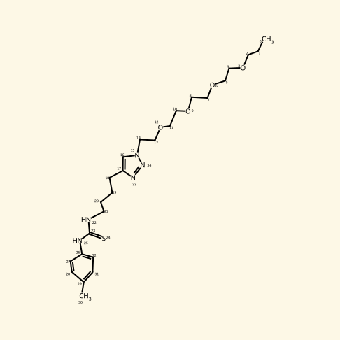 CCCOCCOCCOCCOCCn1cc(CCCCNC(=S)Nc2ccc(C)cc2)nn1